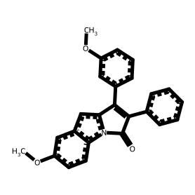 COc1cccc(C2=C(c3ccccc3)C(=O)n3c2cc2cc(OC)ccc23)c1